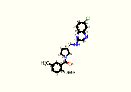 COc1ccc(C)cc1C(=O)N1CC[C@H](CNc2cnc3cc(Cl)ccc3n2)C1